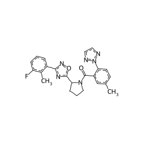 Cc1ccc(-n2nccn2)c(C(=O)N2CCCC2c2nc(-c3cccc(F)c3C)no2)c1